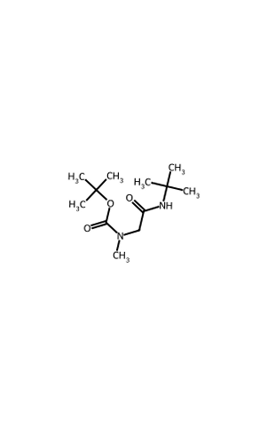 CN(CC(=O)NC(C)(C)C)C(=O)OC(C)(C)C